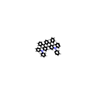 c1ccc(N2c3ccccc3B3c4ccccc4C4c5cccc6c5B(c5ccc2c3c54)c2ccc3c4c2C6c2ccccc2B4c2ccccc2N3c2ccccc2)cc1